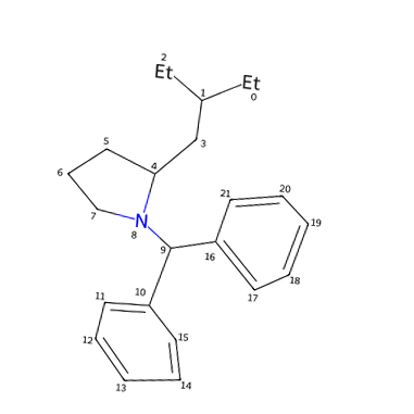 CCC(CC)CC1CCCN1C(c1ccccc1)c1ccccc1